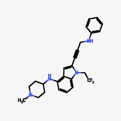 CN1CCC(Nc2cccc3c2cc(C#CCNc2ccccc2)n3CC(F)(F)F)CC1